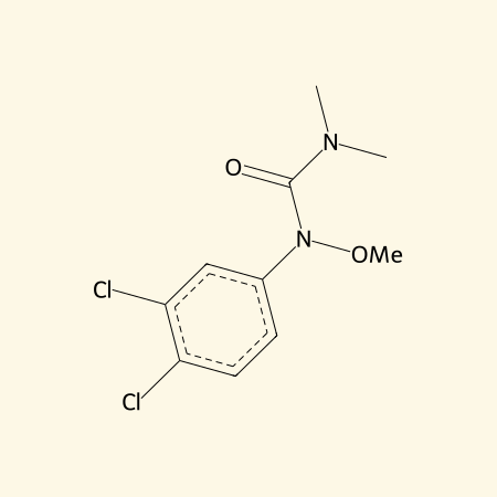 CON(C(=O)N(C)C)c1ccc(Cl)c(Cl)c1